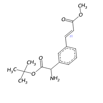 COC(=O)/C=C/c1cccc(C(N)C(=O)OC(C)(C)C)c1